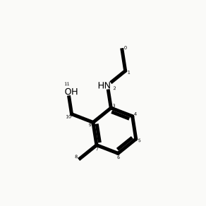 CCNc1cccc(C)c1CO